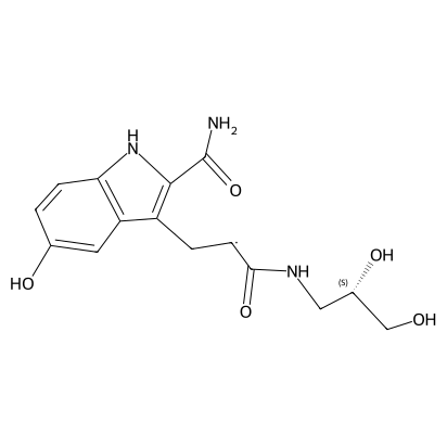 NC(=O)c1[nH]c2ccc(O)cc2c1C[CH]C(=O)NC[C@H](O)CO